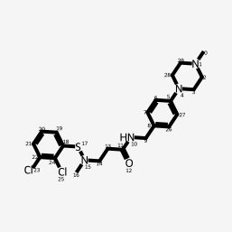 CN1CCN(c2ccc(CNC(=O)CCN(C)Sc3cccc(Cl)c3Cl)cc2)CC1